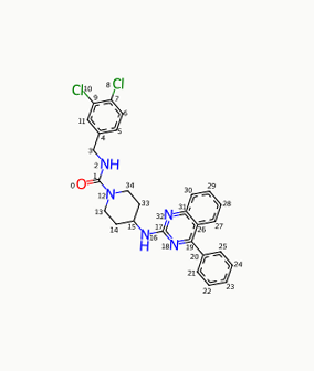 O=C(NCc1ccc(Cl)c(Cl)c1)N1CCC(Nc2nc(-c3ccccc3)c3ccccc3n2)CC1